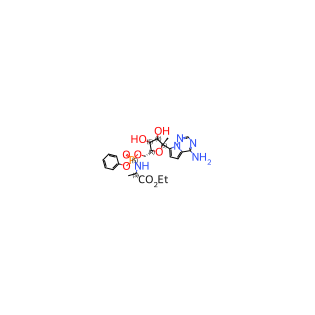 CCOC(=O)[C@H](C)N[P@](=O)(OC[C@H]1O[C@@](C)(c2ccc3c(N)ncnn23)[C@H](O)[C@@H]1O)Oc1ccccc1